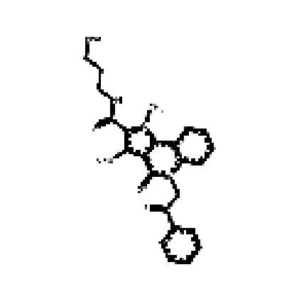 CNCCCNC(=O)c1c(OC)c2c(=O)n(CC(=O)c3ccccc3)c3ccccc3c2n1C